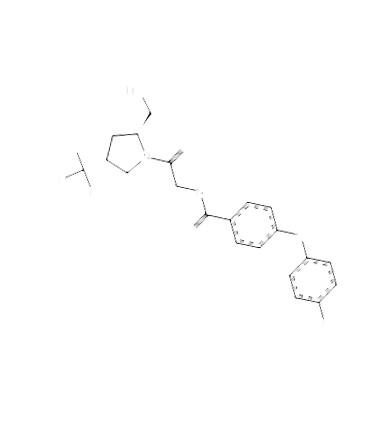 O=C(NCC(=O)N1C[C@H](C(F)(F)F)C[C@H]1CO)c1ccc(Oc2ccc(F)cc2)cc1